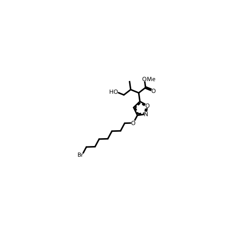 COC(=O)C(c1cc(OCCCCCCCBr)no1)C(C)CO